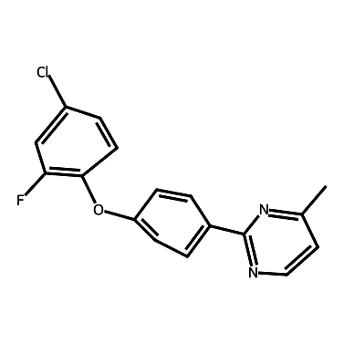 Cc1ccnc(-c2ccc(Oc3ccc(Cl)cc3F)cc2)n1